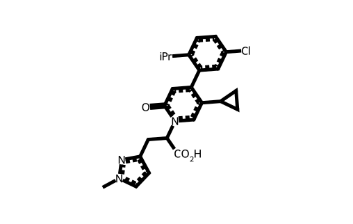 CC(C)c1ccc(Cl)cc1-c1cc(=O)n(C(Cc2ccn(C)n2)C(=O)O)cc1C1CC1